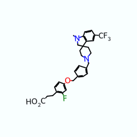 CN1CC2(CCN(Cc3ccc(COc4ccc(CCC(=O)O)c(F)c4)cc3)CC2)c2cc(C(F)(F)F)ccc21